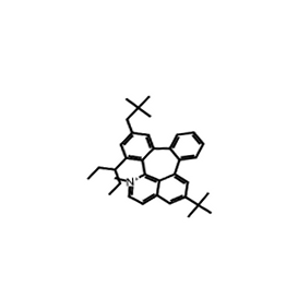 CCC(CC)c1cc(CC(C)(C)C)cc2c1-c1c3c(cc(C(C)(C)C)cc3cc[n+]1C)-c1ccccc1-2